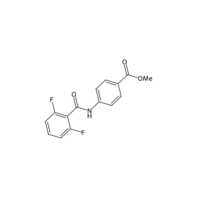 COC(=O)c1ccc(NC(=O)c2c(F)cccc2F)cc1